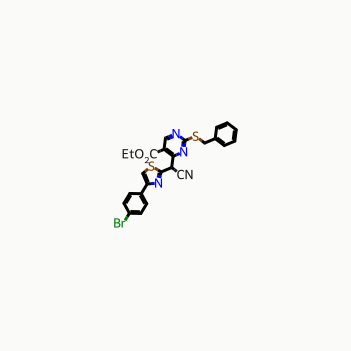 CCOC(=O)c1cnc(SCc2ccccc2)nc1C(C#N)c1nc(-c2ccc(Br)cc2)cs1